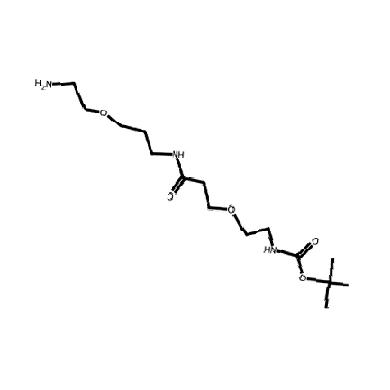 CC(C)(C)OC(=O)NCCOCCC(=O)NCCCOCCN